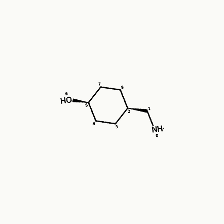 [NH]C[C@H]1CC[C@@H](O)CC1